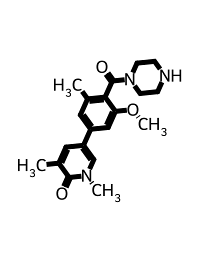 COc1cc(-c2cc(C)c(=O)n(C)c2)cc(C)c1C(=O)N1CCNCC1